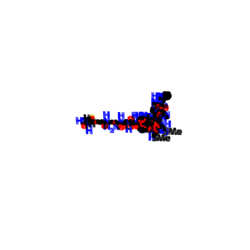 CSCC[C@H](NC(=O)[C@H](C)NC(=O)[C@H](Cc1c[nH]c2ccccc12)NC(=O)[C@@H]1CCCN1C(=O)[C@H](Cc1c[nH]cn1)NC(=O)[C@H](Cc1c[nH]c2ccccc12)NC(=O)[C@H](C)N)C(=O)N[C@@H](CCSC)C(=O)N[C@@H](Cc1ccc(O)cc1)C(=O)N[C@@H](CCCCN)C(=O)NCC(=O)NCC(=O)NCC(=O)N[C@@H](CCCCNC(=O)CCCC[C@@H]1SC[C@@H]2NC(=O)N[C@@H]21)C(N)=O